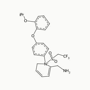 CC(C)Oc1ccccc1Oc1ccc([N+]2(S(=O)(=O)CC(F)(F)F)CC=CC=C2CN)cc1